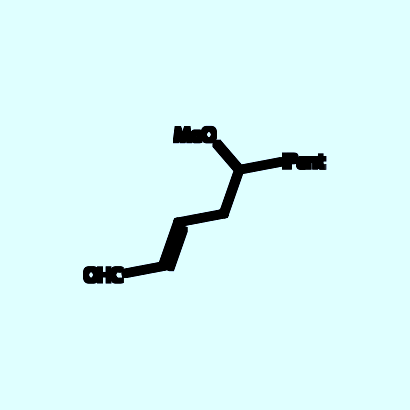 CCCC(C)C(CC=CC=O)OC